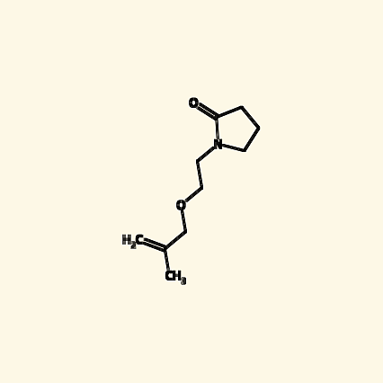 C=C(C)COCCN1CCCC1=O